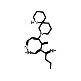 C=C1/C(C(=N)CCC)=C\N/N=C\C=C/1N1CCCC2(CCCCN2)C1